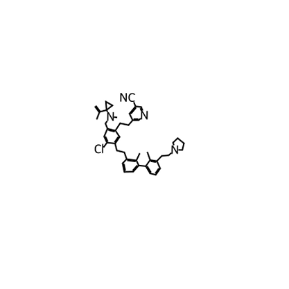 C=C(C)C1(N(C)Cc2cc(Cl)c(CCc3cccc(-c4cccc(CCN5CCCC5)c4C)c3C)cc2CCc2cncc(C#N)c2)CC1